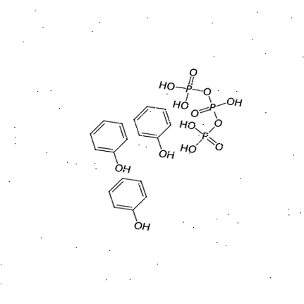 O=P(O)(O)OP(=O)(O)OP(=O)(O)O.Oc1ccccc1.Oc1ccccc1.Oc1ccccc1